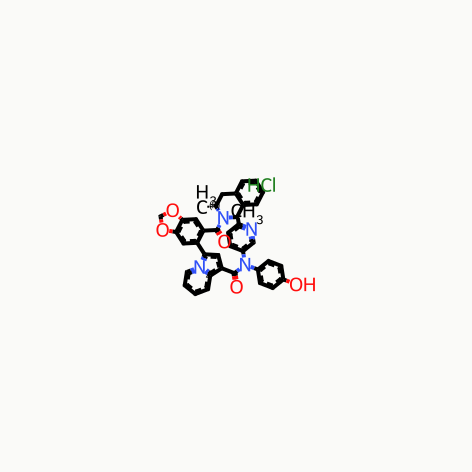 Cc1ccc(N(C(=O)c2cc(-c3cc4c(cc3C(=O)N3Cc5ccccc5C[C@H]3C)OCO4)n3ccccc23)c2ccc(O)cc2)cn1.Cl